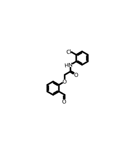 O=Cc1ccccc1OCC(=O)Nc1ccccc1Cl